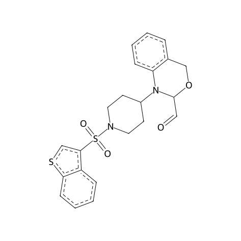 O=CC1OCc2ccccc2N1C1CCN(S(=O)(=O)c2csc3ccccc23)CC1